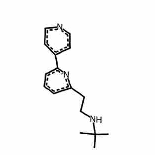 CC(C)(C)NCCc1cccc(-c2ccncc2)n1